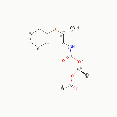 CCC(=O)O[C@@H](OC(=O)NC[C@H](SC1CCCCC1)C(=O)O)C(C)C